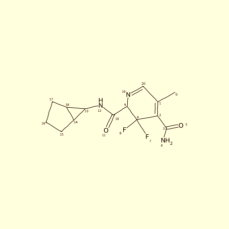 CC1=C(C(N)=O)C(F)(F)C(C(=O)NC2C3CCCC32)N=C1